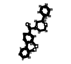 O=C(c1ccc(-c2ccccc2Cl)c(Cl)c1)N1CCOC(c2ccccc2)C1